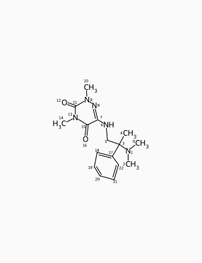 CN(C)C(C)(CNc1nn(C)c(=O)n(C)c1=O)c1ccccc1